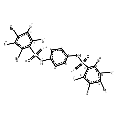 O=S(=O)(Nc1ccc(NS(=O)(=O)c2c(Br)c(Br)c(Br)c(Br)c2Br)cc1)c1c(Br)c(Br)c(Br)c(Br)c1Br